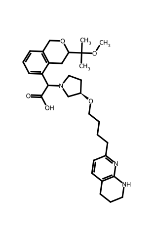 COC(C)(C)C1Cc2c(cccc2C(C(=O)O)N2CC[C@@H](OCCCCc3ccc4c(n3)NCCC4)C2)CO1